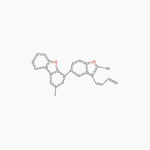 C=C/C=C\c1c(CC)oc2ccc(-c3cc(C)cc4c3oc3ccccc34)cc12